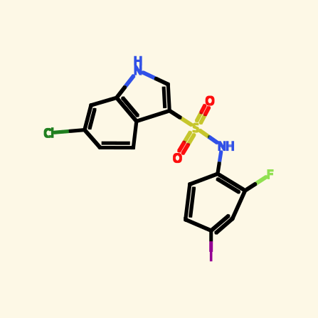 O=S(=O)(Nc1ccc(I)cc1F)c1c[nH]c2cc(Cl)ccc12